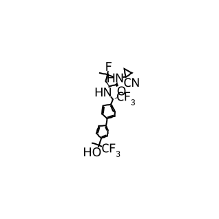 CC(C)(F)C[C@H](N[C@@H](c1ccc(-c2ccc(C(C)(O)C(F)(F)F)cc2)cc1)C(F)(F)F)C(=O)NC1(C#N)CC1